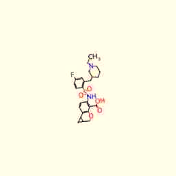 CCN1CCCC(Cc2cc(F)ccc2S(=O)(=O)Nc2ccc3c(c2C(=O)O)OCC2CC32)C1